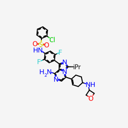 CC(C)c1nc(-c2cc(F)c(NS(=O)(=O)c3ccccc3Cl)cc2F)c2c(N)ncc(C3=CCC(NC4COC4)CC3)n12